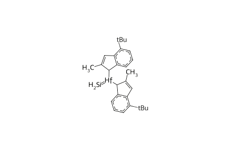 CC1=Cc2c(cccc2C(C)(C)C)[CH]1[Hf](=[SiH2])[CH]1C(C)=Cc2c1cccc2C(C)(C)C